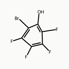 Oc1c(F)c(F)c(F)c(F)c1Br